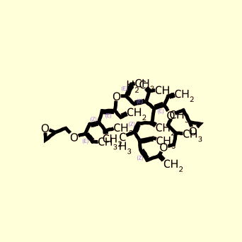 C=C\C(=C/C(=C/C(=C\C)OCC1CO1)C(=C)C)OC(=C/C)/C=C(C(=C)C)/C(C(=C)/C=C(/C)C(=CC)/C=C\C(=C)OCC(C)CC)=C(\C=C)OCC1CO1